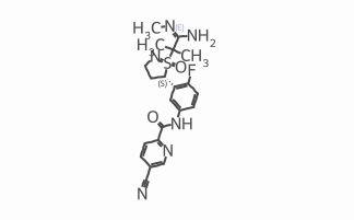 C/N=C(/N)C(C)(C)S1(=O)=NCC[C@H]1c1cc(NC(=O)c2ccc(C#N)cn2)ccc1F